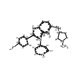 CN1CC[C@H](Nc2ccc3nc(-c4ccc(F)cc4)n(-c4ccncc4)c3n2)C1